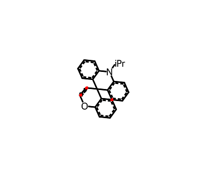 CC(C)N1c2ccccc2C2(c3ccccc3Oc3ccccc32)c2ccccc21